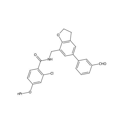 CCCOc1ccc(C(=O)NCc2cc(-c3cccc(C=O)c3)cc3c2OCC3)c(Cl)c1